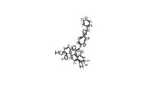 COc1c(O)ccc2c1-c1ccc3c(c1/C(=C/c1ccc(OCc4ccccc4)cc1)O2)C(C)=CC(C)(C)N3